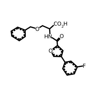 O=C(NC(COCc1ccccc1)C(=O)O)c1cc(-c2cccc(F)c2)co1